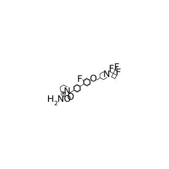 NC(=O)[C@H]1CCCCN1C(=O)c1ccc(-c2ccc(OCC3CCN(CC4(C(F)(F)F)CCC4)CC3)cc2F)cc1